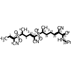 C/C=C(\C#N)S(=O)(=O)C(C)C/C=C(\C#N)S(=O)(=O)C(C)CC/C=C(\C#N)C(=O)NC(C)C